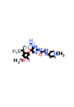 COc1cc(C(C)C)c(Oc2cnc(NC(=O)CNC3CCN(C)CC3)nc2N)cc1I